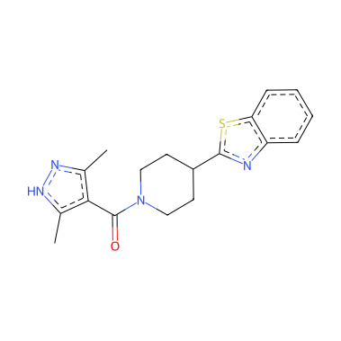 Cc1n[nH]c(C)c1C(=O)N1CCC(c2nc3ccccc3s2)CC1